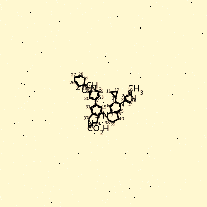 Cn1cc(-c2cc3c(cc2C2CC2)N(c2cc(-c4ccnc(OC5(C)C=CC=CC5)c4)cc4c2CN(C(=O)O)C4)CCC3)cn1